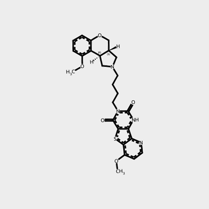 COc1cccc2c1[C@@H]1CN(CCCCn3c(=O)[nH]c4c(sc5c(OC)ccnc54)c3=O)C[C@H]1CO2